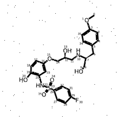 COc1ccc(C[C@@H](CO)NC[C@H](O)COc2ccc(O)c(NS(=O)(=O)c3ccc(F)cc3)c2)cc1